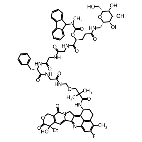 CC[C@@]1(O)C(=O)OCc2c1cc1n(c2=O)Cc2c-1nc1cc(F)c(C)c3c1c2[C@@H](NC(=O)C(C)(C)COCNC(=O)CNC(=O)[C@H](Cc1ccccc1)NC(=O)CNC(=O)CNC(=O)[C@H](CCC(=O)NC[C@@H]1O[C@H](CO)[C@@H](O)[C@H](O)[C@H]1O)OC(=O)N(C)C1c2ccccc2-c2ccccc21)CC3